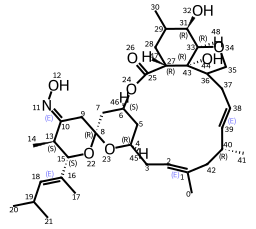 C/C1=C\C[C@@H]2C[C@@H](C[C@]3(C/C(=N\O)[C@H](C)[C@@H](/C(C)=C/C(C)C)O3)O2)OC(=O)[C@@H]2CC(C)[C@@H](O)[C@H]3OCC(C/C=C/[C@H](C)C1)[C@]32O